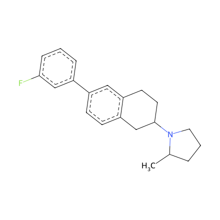 CC1CCCN1C1CCc2cc(-c3cccc(F)c3)ccc2C1